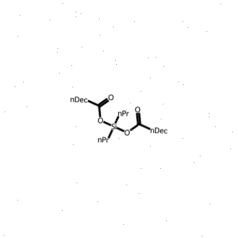 CCCCCCCCCCC(=O)O[Si](CCC)(CCC)OC(=O)CCCCCCCCCC